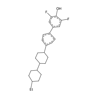 CCC1CCC(C2CCC(c3ccc(-c4cc(F)c(O)c(F)c4)cc3)CC2)CC1